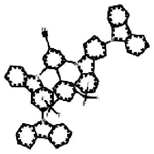 N#Cc1cc(-n2c3ccccc3c3cc(-n4c5ccccc5c5ccccc54)ccc32)c(-c2cc(C(F)(F)F)cc(C(F)(F)F)c2)c(-n2c3ccccc3c3cc(-n4c5ccccc5c5ccccc54)ccc32)c1